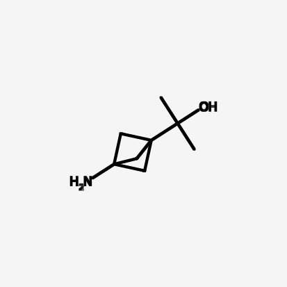 CC(C)(O)C12CC(N)(C1)C2